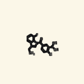 NCc1cn(C(=O)c2ccc(Cl)c(N(O)O)c2)c2c(F)cccc12